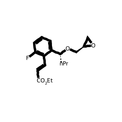 CCC[C@@H](OC[C@H]1CO1)c1cccc(F)c1/C=C/C(=O)OCC